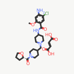 COc1cc(N)c(Cl)cc1C(=O)NC1CCN(CC2CCN(C(=O)[C@@H]3CCCO3)CC2)CC1.O=C(O)C=CC(=O)O